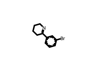 Brc1cccc(C2=NCCCC2)c1